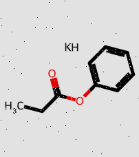 CCC(=O)Oc1ccccc1.[KH]